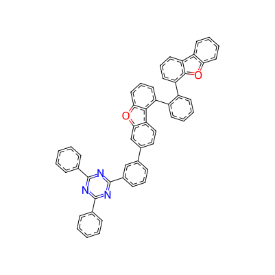 c1ccc(-c2nc(-c3ccccc3)nc(-c3cccc(-c4ccc5c(c4)oc4cccc(-c6ccccc6-c6cccc7c6oc6ccccc67)c45)c3)n2)cc1